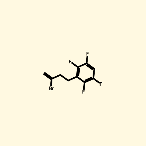 C=C(Br)C[CH]c1c(F)c(F)cc(F)c1F